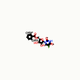 COc1cccc(OC)c1C(=O)OC[C@H]1O[C@@H](n2cc(F)c(=O)[nH]c2=O)[C@H](O)[C@@H]1O